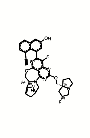 C#Cc1cccc2cc(O)cc(-c3nc4c5c(nc(OC[C@]67CCCN6C[C@H](F)C7)nc5c3F)N3CC5CC=C(N5)[C@H]3CO4)c12